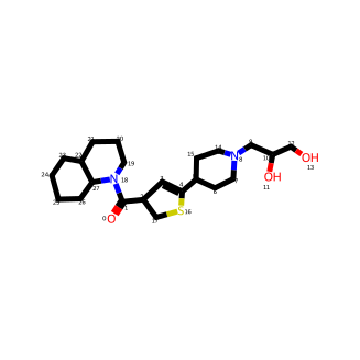 O=C(C1C=C(C2CCN(CC(O)CO)CC2)SC1)N1CCCC2CCCCC21